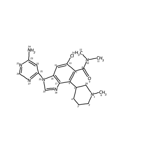 CN1CCCC(c2c(C(=O)N(C)C)c(Cl)cc3c2ncn3-c2cc(N)ncn2)C1